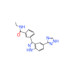 CCNC(=O)c1cccc(-c2n[nH]c3ccc(-c4nc[nH]n4)cc23)c1